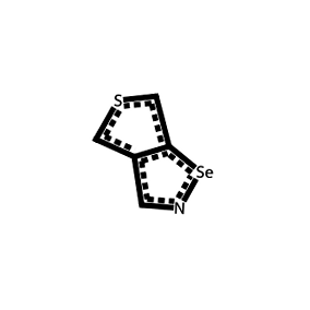 c1n[se]c2cscc12